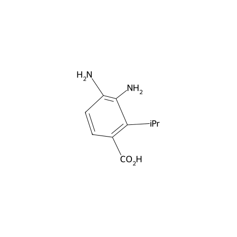 CC(C)c1c(C(=O)O)ccc(N)c1N